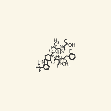 C[C@@H](I)[C@H](NC(=O)Cc1ccccc1F)C(=O)N[C@]1(C(=O)N[C@H](c2nc(C(=O)O)cs2)[C@@H](C)I)CCc2[nH]c3c(C(F)(F)F)cccc3c2C1